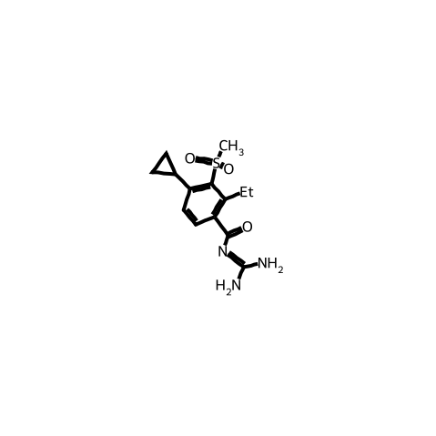 CCc1c(C(=O)N=C(N)N)ccc(C2CC2)c1S(C)(=O)=O